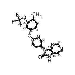 Cc1ccc(Oc2ccc(-n3c(=O)[nH]c4cncnc43)cn2)cc1OC(F)(F)F